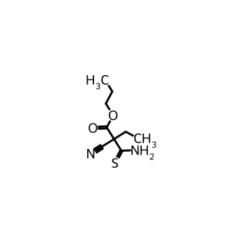 CCCOC(=O)C(C#N)(CC)C(N)=S